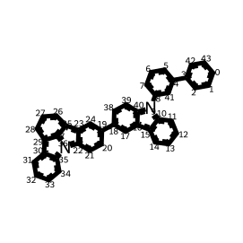 c1ccc(-c2cccc(-n3c4ccccc4c4cc(-c5ccc6c(c5)c5cccc7c8ccccc8n6c75)ccc43)c2)cc1